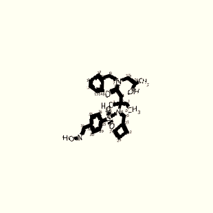 CCC(C)(CC(=O)N(Cc1ccccc1)CC(C)O)N(CC1CCC1)S(=O)(=O)c1ccc(C=NO)cc1